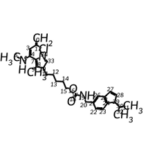 C=C(Cl)/C=C(/NC)C1=C(C)C(CCCCCOC(=O)NCc2ccc3c(c2)C=CC3C(C)C)C=N1